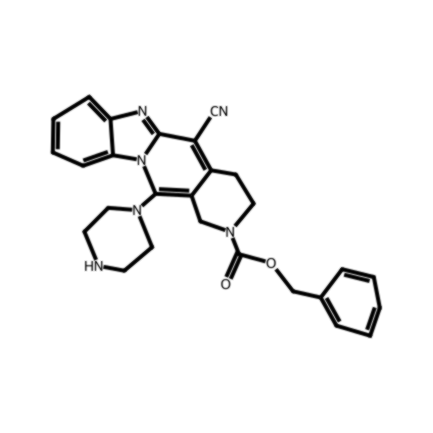 N#Cc1c2c(c(N3CCNCC3)n3c1nc1ccccc13)CN(C(=O)OCc1ccccc1)CC2